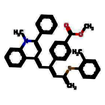 C=C(/C=C(/C=C1\C=C(c2ccccc2)N(C)c2ccccc21)c1ccc(C(=O)OC)cc1)Sc1ccccc1C